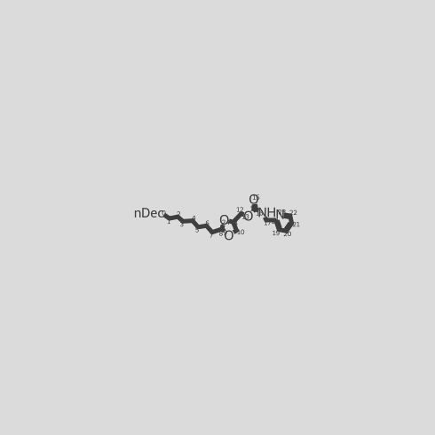 CCCCCCCCCCCCCCCCCC1OCC(COC(=O)NCc2ccccn2)O1